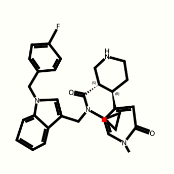 Cn1ccc([C@@H]2CCNC[C@H]2C(=O)N(Cc2cn(Cc3ccc(F)cc3)c3ccccc23)C2CC2)cc1=O